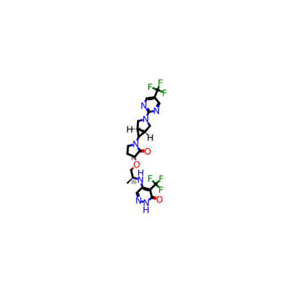 C[C@@H](CO[C@@H]1CCN(C2[C@H]3CN(c4ncc(C(F)(F)F)cn4)C[C@@H]23)C1=O)Nc1cn[nH]c(=O)c1C(F)(F)F